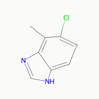 Cc1c(Cl)ccc2[nH]cnc12